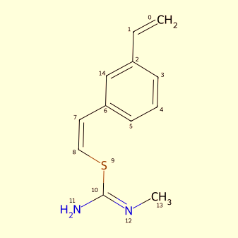 C=Cc1cccc(/C=C\S/C(N)=N\C)c1